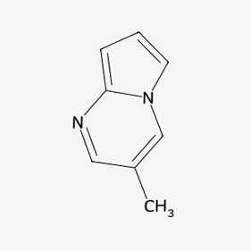 Cc1cnc2cccn2c1